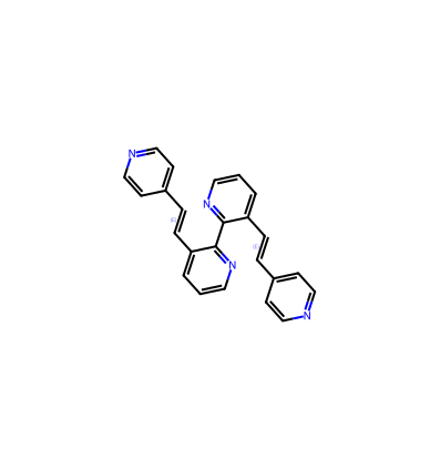 C(=C\c1cccnc1-c1ncccc1/C=C/c1ccncc1)/c1ccncc1